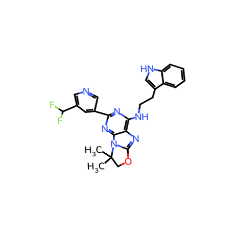 CC1(C)COc2nc3c(NCCc4c[nH]c5ccccc45)nc(-c4cncc(C(F)F)c4)nc3n21